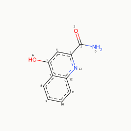 NC(=O)c1cc(O)c2ccccc2n1